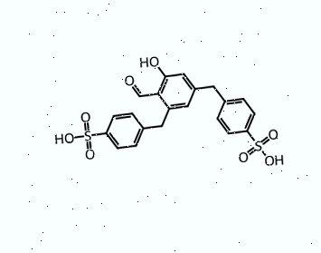 O=Cc1c(O)cc(Cc2ccc(S(=O)(=O)O)cc2)cc1Cc1ccc(S(=O)(=O)O)cc1